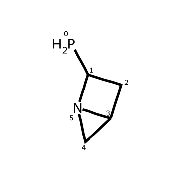 PC1CC2CN12